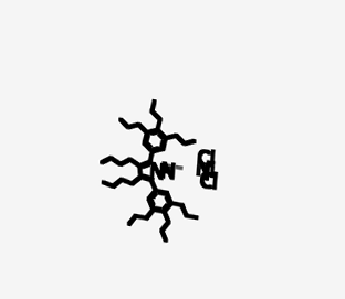 CCCCC1=C(c2cc(CCC)c(CCC)c(CCC)c2)[N+](=[N-])C(c2cc(CCC)c(CCC)c(CCC)c2)=C1CCCC.[Cl][Ni][Cl]